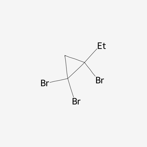 CCC1(Br)CC1(Br)Br